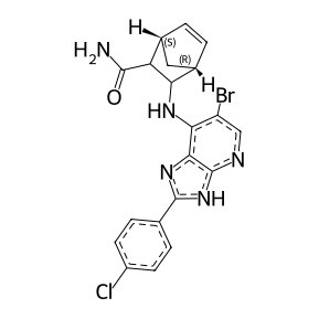 NC(=O)C1C(Nc2c(Br)cnc3[nH]c(-c4ccc(Cl)cc4)nc23)[C@H]2C=C[C@@H]1C2